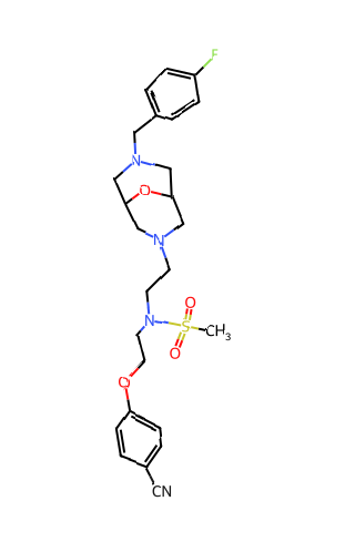 CS(=O)(=O)N(CCOc1ccc(C#N)cc1)CCN1CC2CN(Cc3ccc(F)cc3)CC(C1)O2